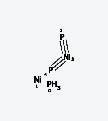 P.[Ni].[P]#[Ni]#[P]